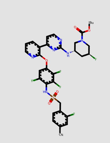 CC(C)(C)OC(=O)N1C[C@@H](F)C[C@H](Nc2nccc(-c3cccnc3Oc3cc(F)c(NS(=O)(=O)Cc4ccc(C#N)cc4F)c(F)c3F)n2)C1